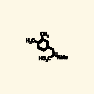 CN[C@@H](Cc1ccc(C)c(C)c1)C(=O)O